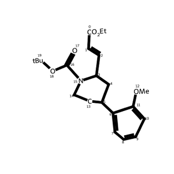 CCOC(=O)/C=C/C1CC(c2ccccc2OC)CCN1C(=O)OC(C)(C)C